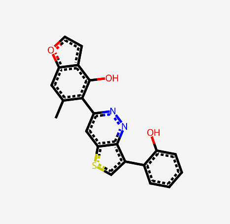 Cc1cc2occc2c(O)c1-c1cc2scc(-c3ccccc3O)c2nn1